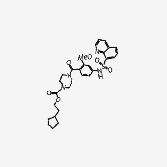 COc1cc(NS(=O)(=O)c2cccc3cccnc23)ccc1C(=O)N1CCN(C(=O)OCCC2CCCC2)CC1